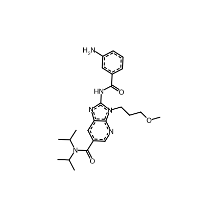 COCCCn1c(NC(=O)c2cccc(N)c2)nc2cc(C(=O)N(C(C)C)C(C)C)cnc21